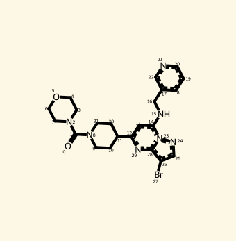 O=C(N1CCOCC1)N1CCC(c2cc(NCc3cccnc3)n3ncc(Br)c3n2)CC1